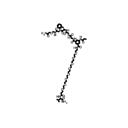 CCC(=O)Nc1cc(C(=O)NCCOCCOCCOCCOCCOCCOCCOCCOCCC(=O)N[C@H](C(N)=O)C(C)C)cc(C(=O)NCC(=O)NCC(=O)N[C@@H](Cc2ccccc2)C(=O)NCC(=O)NCOCC(N)=O)c1